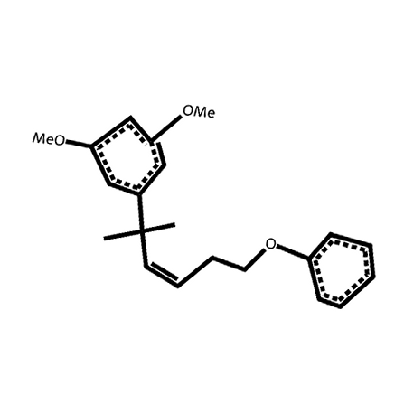 COc1cc(OC)cc(C(C)(C)/C=C\CCOc2ccccc2)c1